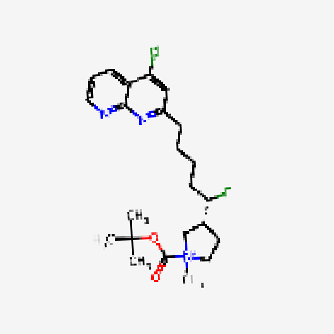 CC(C)(C)OC(=O)[N+]1(C)CC[C@@H](C(F)CCCCc2cc(Cl)c3cccnc3n2)C1